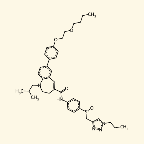 CCCCOCCOc1ccc(-c2ccc3c(c2)C=C(C(=O)Nc2ccc([S+]([O-])Cc4cn(CCC)nn4)cc2)CCN3CC(C)C)cc1